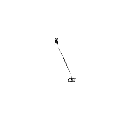 C[Si](Cl)(Cl)CCCCCCCCCCCCCCCCCCCCCCCCCCCCCCCCCCCN=C=O